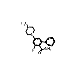 CN1CCN(c2cc(F)c(C(N)=O)c(-c3ccccc3)c2)CC1